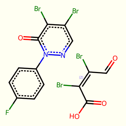 O=C/C(Br)=C(/Br)C(=O)O.O=c1c(Br)c(Br)cnn1-c1ccc(F)cc1